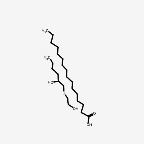 CCCCC(O)COCCO.CCCCCCCCCCCCCCCC(=O)O